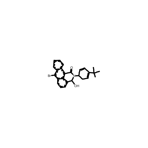 CC(C)(C)C1=CCC(N2C(=O)c3c4ccccc4c(Br)c4cccc(c34)C2O)C=C1